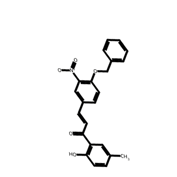 Cc1ccc(O)c(C(=O)C=Cc2ccc(OCc3ccccc3)c([N+](=O)[O-])c2)c1